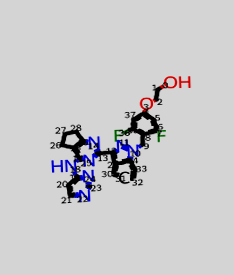 OCCOc1cc(F)c(Cn2nc(-c3nc4c(c(Nc5ccncn5)n3)CCC4)c3ccccc32)c(F)c1